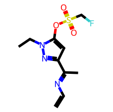 C=C/N=C(\C)c1cc(OS(=O)(=O)CF)n(CC)n1